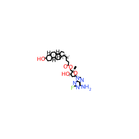 C#C[C@]1(COC(=O)CC[C@@H](C)[C@H]2CC[C@H]3[C@@H]4CC[C@@H]5C[C@H](O)CC[C@]5(C)[C@H]4CC[C@]23C)O[C@@H](n2cnc3c(N)nc(F)nc32)C[C@@H]1O